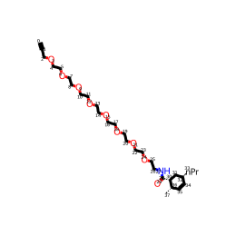 C#CCOCCOCCOCCOCCOCCOCCOCCOCCNC(=O)[C@@H]1C[C@H](CCC)C=C[C@@H]1C